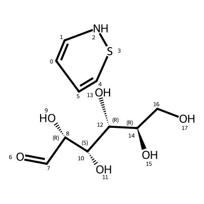 C1=CNSC=C1.O=C[C@H](O)[C@@H](O)[C@H](O)[C@H](O)CO